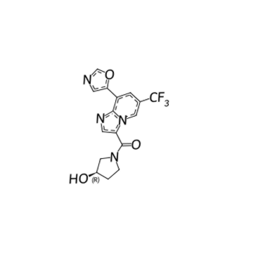 O=C(c1cnc2c(-c3cnco3)cc(C(F)(F)F)cn12)N1CC[C@@H](O)C1